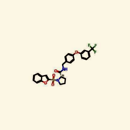 O=C(NCc1ccc(Oc2cccc(C(F)(F)F)c2)cc1)[C@@H]1CCCN1S(=O)(=O)c1cc2ccccc2o1